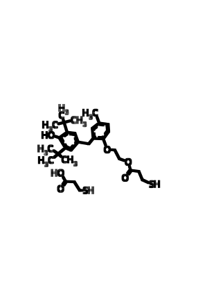 Cc1ccc(OCCOC(=O)CCS)c(Cc2cc(C(C)(C)C)c(O)c(C(C)(C)C)c2)c1.O=C(O)CCS